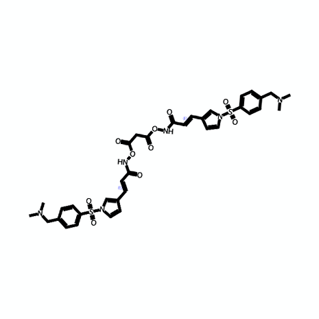 CN(C)Cc1ccc(S(=O)(=O)n2ccc(/C=C/C(=O)NOC(=O)CC(=O)ONC(=O)/C=C/c3ccn(S(=O)(=O)c4ccc(CN(C)C)cc4)c3)c2)cc1